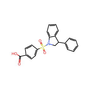 O=C(O)c1ccc(S(=O)(=O)N2CC(c3ccccc3)c3ccccc32)cc1